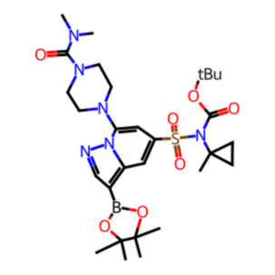 CN(C)C(=O)N1CCN(c2cc(S(=O)(=O)N(C(=O)OC(C)(C)C)C3(C)CC3)cc3c(B4OC(C)(C)C(C)(C)O4)cnn23)CC1